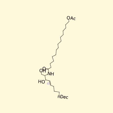 CCCCCCCCCCCCC/C=C/C(O)C(CO)NC(=O)CCCCCCCCCCCCCCCOC(C)=O